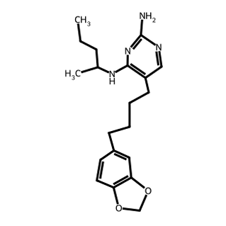 CCCC(C)Nc1nc(N)ncc1CCCCc1ccc2c(c1)OCO2